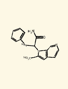 NC(=O)C(Nc1ccccc1)n1c(C(=O)O)cc2ccncc21